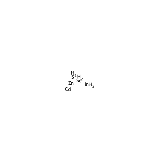 S.[Cd].[InH3].[SeH2].[Zn]